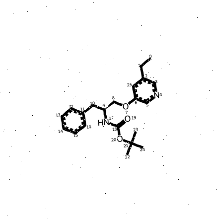 CCc1cncc(OC[C@H](Cc2ccccc2)NC(=O)OC(C)(C)C)c1